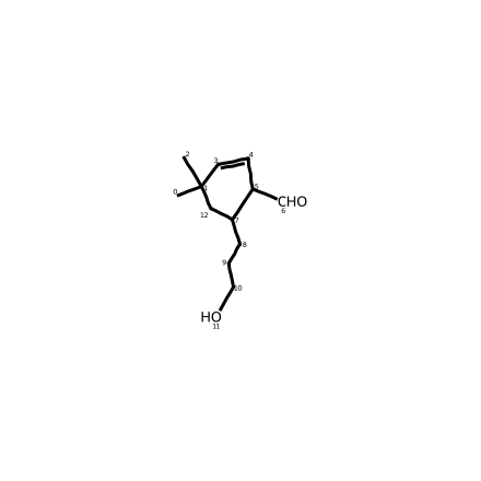 CC1(C)C=CC(C=O)C(CCCO)C1